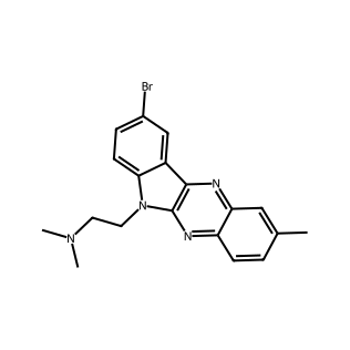 Cc1ccc2nc3c(nc2c1)c1cc(Br)ccc1n3CCN(C)C